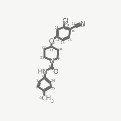 Cc1ccc(NC(=O)N2CCC(Oc3ccc(C#N)c(Cl)c3)CC2)cc1